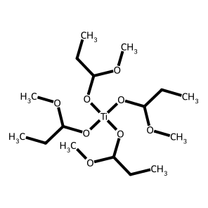 CCC(OC)[O][Ti]([O]C(CC)OC)([O]C(CC)OC)[O]C(CC)OC